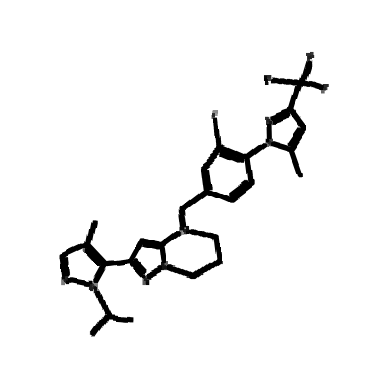 Cc1cnn(C(C)C)c1-c1cc2n(n1)CCCN2Cc1ccc(-n2nc(C(F)(F)F)cc2C)c(F)c1